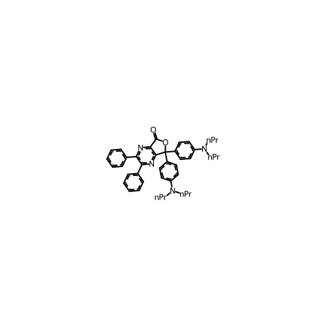 CCCN(CCC)c1ccc(C2(c3ccc(N(CCC)CCC)cc3)OC(=O)c3nc(-c4ccccc4)c(-c4ccccc4)nc32)cc1